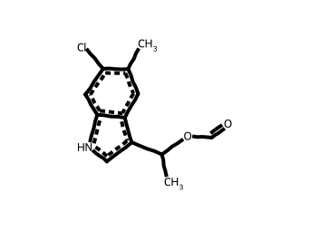 Cc1cc2c(C(C)OC=O)c[nH]c2cc1Cl